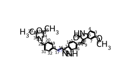 COc1ccc2c(c1)[C@@]1(C[C@@H]1c1ccc3c(/C=C/c4ccc(CN5C[C@@H](C)O[C@@H](C)C5)cc4)n[nH]c3c1)C(=O)N2